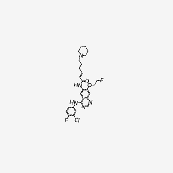 O=C(C=CCCCN1CCCCC1)Nc1cc2c(Nc3ccc(F)c(Cl)c3)ncnc2cc1OCCF